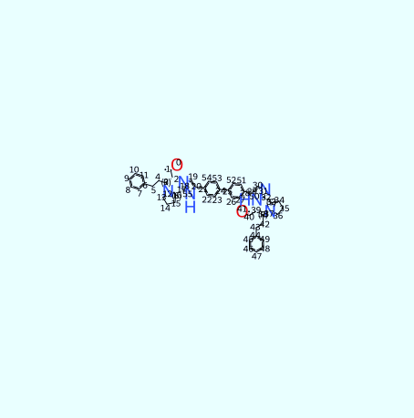 O=[C]C[C@@H](CCc1ccccc1)N1CCC[C@H]1c1ncc(-c2ccc(-c3ccc(-c4cnc([C@@H]5CCCN5[C@@H](C[C]=O)CCc5ccccc5)[nH]4)cc3)cc2)[nH]1